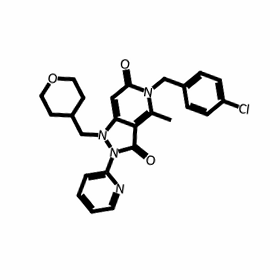 Cc1c2c(=O)n(-c3ccccn3)n(CC3CCOCC3)c2cc(=O)n1Cc1ccc(Cl)cc1